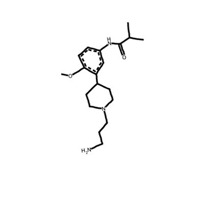 COc1ccc(NC(=O)C(C)C)cc1C1CCN(CCCN)CC1